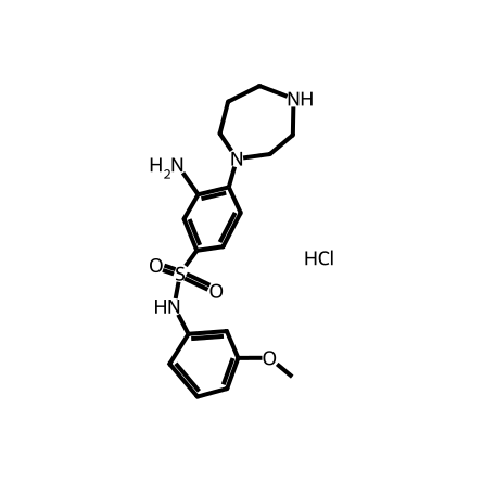 COc1cccc(NS(=O)(=O)c2ccc(N3CCCNCC3)c(N)c2)c1.Cl